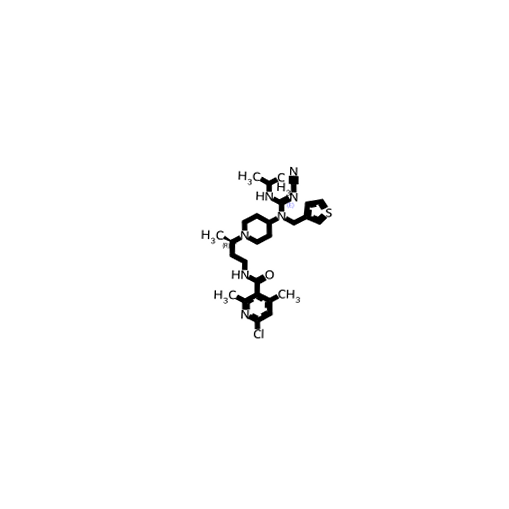 Cc1cc(Cl)nc(C)c1C(=O)NCC[C@@H](C)N1CCC(N(Cc2ccsc2)/C(=N/C#N)NC(C)C)CC1